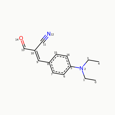 CCN(CC)c1ccc(/C=C(\C#N)C=O)cc1